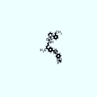 CCc1ccccc1N1CCCS/C1=N\C(=O)NCCCC(C)c1ccc(-c2ncn(-c3ccc(OC(F)(F)F)cc3)n2)cc1